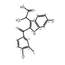 CC(C(=O)O)c1c(C(=O)c2ccc(Cl)c(F)c2)[nH]c2cc(Cl)ccc12